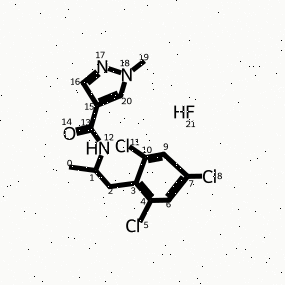 CC(Cc1c(Cl)cc(Cl)cc1Cl)NC(=O)c1cnn(C)c1.F